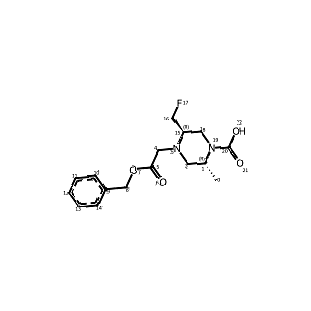 C[C@@H]1CN(CC(=O)OCc2ccccc2)[C@@H](CF)CN1C(=O)O